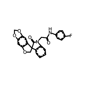 O=C(CN1C(=O)C2(COc3cc4c(cc32)OCO4)c2ccccc21)Nc1ccc(F)cc1